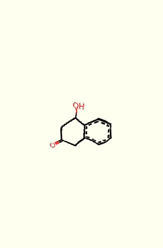 O=C1Cc2ccccc2C(O)C1